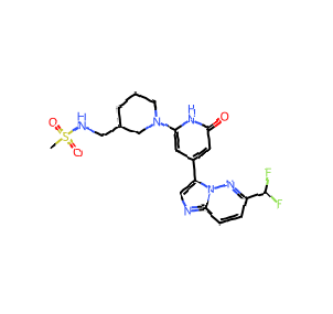 CS(=O)(=O)NCC1CCCN(c2cc(-c3cnc4ccc(C(F)F)nn34)cc(=O)[nH]2)C1